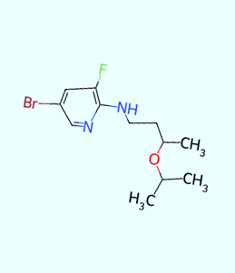 CC(C)OC(C)CCNc1ncc(Br)cc1F